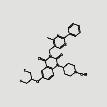 Cc1nc(-c2ccccc2)ncc1Cn1c(=O)c2cc(OC(CF)CF)ccc2n(C2CCN(C=O)CC2)c1=O